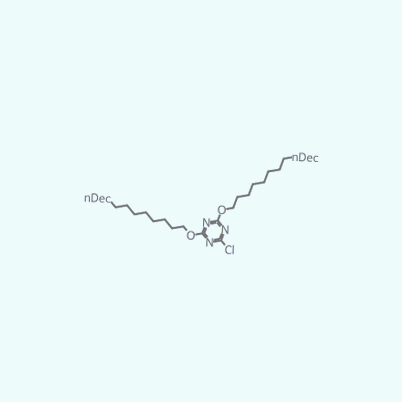 CCCCCCCCCCCCCCCCCCOc1nc(Cl)nc(OCCCCCCCCCCCCCCCCCC)n1